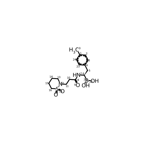 Cc1ccc(C[C@H](NC(=O)CCN2CCCCS2(=O)=O)B(O)O)cc1